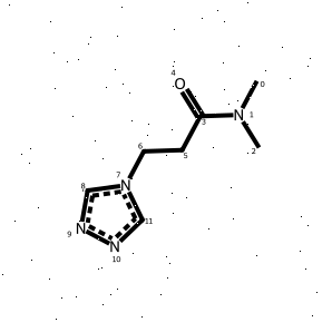 CN(C)C(=O)CCn1[c]nnc1